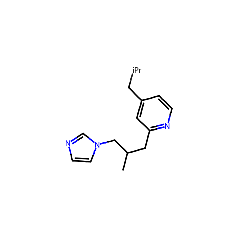 CC(C)Cc1ccnc(CC(C)Cn2ccnc2)c1